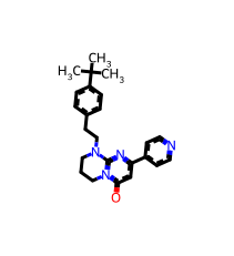 CC(C)(C)c1ccc(CCN2CCCn3c2nc(-c2ccncc2)cc3=O)cc1